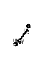 N=C(NCCCCCCCC(=O)NOc1ccccc1)Nc1ccncc1